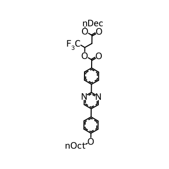 CCCCCCCCCCOC(=O)CC(OC(=O)c1ccc(-c2ncc(-c3ccc(OCCCCCCCC)cc3)cn2)cc1)C(F)(F)F